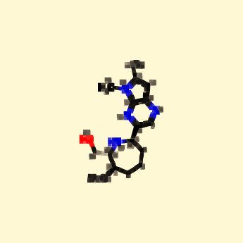 CO[C@@H]1CCC[C@H](c2cnc3cc(C(C)(C)C)n(C)c3n2)N[C@H]1CO